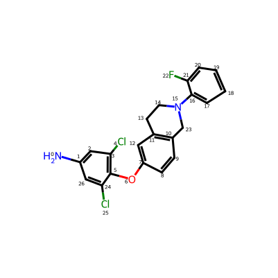 Nc1cc(Cl)c(Oc2ccc3c(c2)CCN(c2ccccc2F)C3)c(Cl)c1